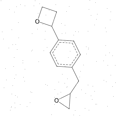 c1cc(C2CCO2)ccc1CC1CO1